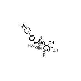 C/C(=C(/C#N)S(=O)(=O)N[C@H]1C(O)O[C@H](CO)[C@@H](O)[C@@H]1O)c1ccc(N2CCN(C)CC2)cc1